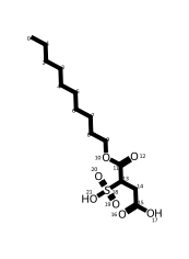 CCCCCCCCCCOC(=O)C(CC(=O)O)S(=O)(=O)O